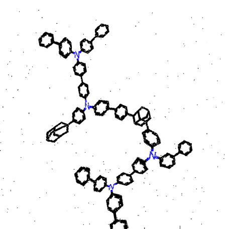 c1ccc(-c2ccc(N(c3ccc(-c4ccccc4)cc3)c3ccc(-c4ccc(N(c5ccc(-c6ccc(C7C8CC9CC7CC(c7ccc(N(c%10ccc(-c%11ccc(N(c%12ccc(-c%13ccccc%13)cc%12)c%12ccc(-c%13ccccc%13)cc%12)cc%11)cc%10)c%10cccc(-c%11ccccc%11)c%10)cc7)(C9)C8)cc6)cc5)c5ccc(C67CC8CC(CC(C8)C6)C7)cc5)cc4)cc3)cc2)cc1